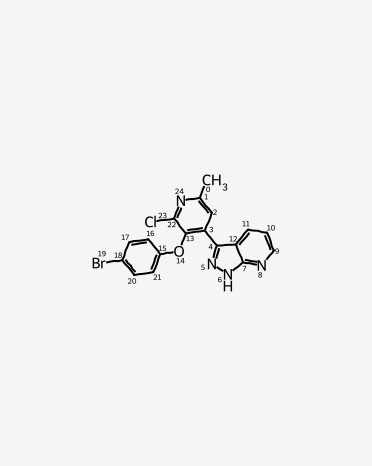 Cc1cc(-c2n[nH]c3ncccc23)c(Oc2ccc(Br)cc2)c(Cl)n1